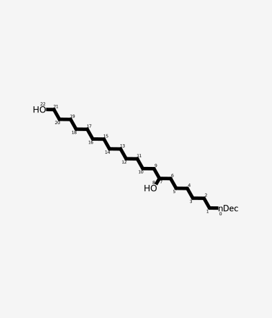 CCCCCCCCCCCCCCCCC(O)CCCCCCCCCCCCCO